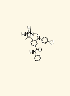 CC1=C2c3ccc(C(=O)Nc4ccccc4)cc3N(c3ccc(Cl)cc3)CCN2NN1